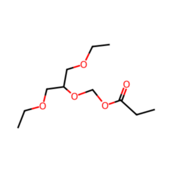 CCOCC(COCC)OCOC(=O)CC